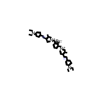 CCN(CC)c1ccc(/C=C/c2cc[n+](Cc3cccc(C[n+]4ccc(/C=C/c5ccc(N(CC)CC)cc5)c(C)c4)c3)cc2C)cc1.[Br-].[Br-]